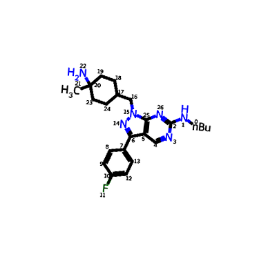 CCCCNc1ncc2c(-c3ccc(F)cc3)nn(CC3CCC(C)(N)CC3)c2n1